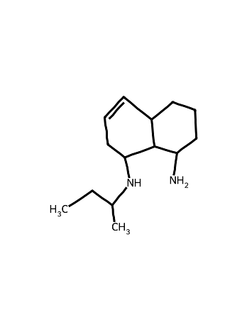 CCC(C)NC1CC=CC2CCCC(N)C21